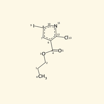 CCCOC(=O)c1cc(I)cnc1Cl